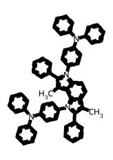 Cc1c(-c2ccccc2)n(-c2ccc(N(c3ccccc3)c3ccccc3)cc2)c2c1ccc1c2c(C)c(-c2ccccc2)n1-c1ccc(N(c2ccccc2)c2ccccc2)cc1